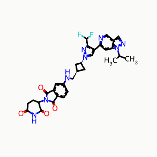 CC(C)n1ncc2cnc(-c3cn([C@H]4C[C@H](CNc5ccc6c(c5)C(=O)N(C5CCC(=O)NC5=O)C6=O)C4)nc3C(F)F)cc21